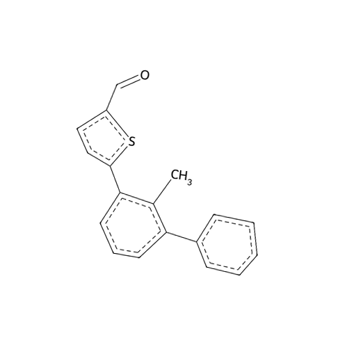 Cc1c(-c2ccccc2)cccc1-c1ccc(C=O)s1